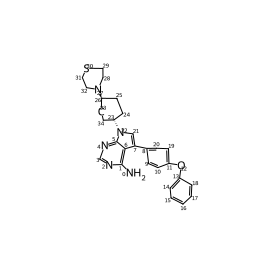 Nc1ncnc2c1c(-c1ccc(Oc3ccccc3)cc1)cn2[C@H]1CC[C@H](N2CCSCC2)CC1